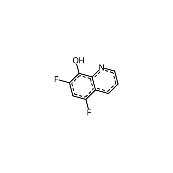 Oc1c(F)cc(F)c2cccnc12